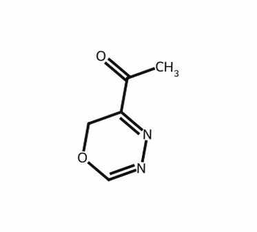 CC(=O)C1=NN=COC1